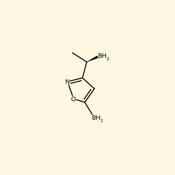 Bc1cc([C@H](B)C)no1